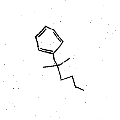 CCCCC(C)(C)c1ccccc1